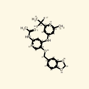 CC(=O)Nc1cc(Nc2cc(C)nc(C(C)(F)F)c2)c(OCc2ccc3c(c2)OCO3)cn1